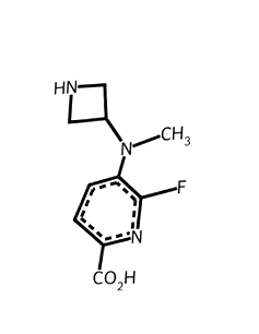 CN(c1ccc(C(=O)O)nc1F)C1CNC1